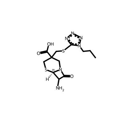 CCCn1nnnc1SCC1(C(=O)O)CS[C@@H]2C(N)C(=O)N2C1